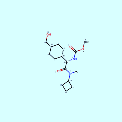 CN(C(=O)[C@@H](NC(=O)OC(C)(C)C)[C@H]1CC[C@H](CO)CC1)C1CCC1